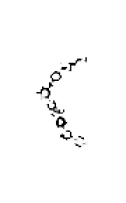 NCCCNC(=O)[C@H]1CC[C@H](C(F)(F)c2cc(Cl)nc(N3CCN(S(=O)(=O)c4ccc(N5CC(N6CCNCC6)CC5=O)cc4)CC3)c2)CC1